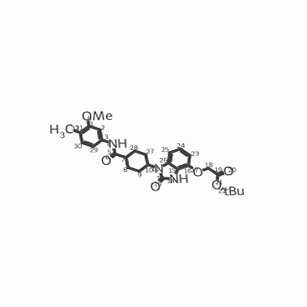 COc1cc(NC(=O)C2CCC(n3c(=O)[nH]c4c(OCC(=O)OC(C)(C)C)cccc43)CC2)ccc1C